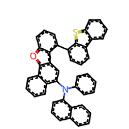 c1ccc(N(c2cccc3ccccc23)c2cc3c(oc4cccc(-c5cccc6c5sc5ccccc56)c43)c3ccccc23)cc1